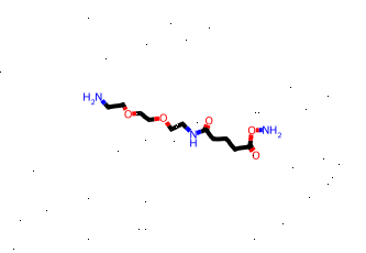 NCCOCCOCCNC(=O)CCCC(=O)ON